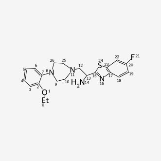 CCOc1ccccc1N1CCN(CC(N)c2nc3ccc(F)cc3s2)CC1